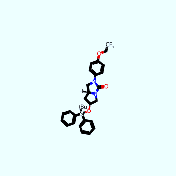 CC(C)(C)[Si](O[C@H]1C[C@@H]2CN(c3ccc(OCC(F)(F)F)cc3)C(=O)N2C1)(c1ccccc1)c1ccccc1